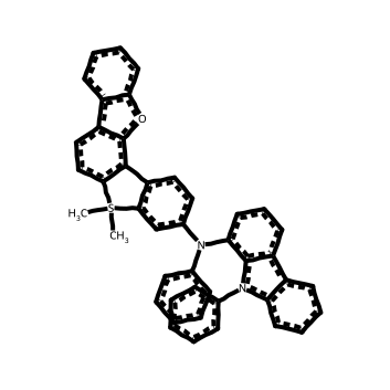 CS1(C)c2cc(N(c3ccccc3)c3cccc4c5ccccc5n(-c5ccccc5)c34)ccc2-c2c1ccc1c2oc2ccccc21